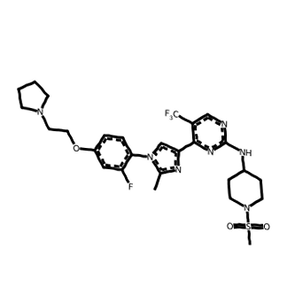 Cc1nc(-c2nc(NC3CCN(S(C)(=O)=O)CC3)ncc2C(F)(F)F)cn1-c1ccc(OCCN2CCCC2)cc1F